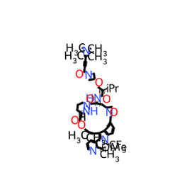 CO[C@@H](C)c1ncccc1-c1c2c3cc(ccc3n1CC(F)(F)F)C1=NC(CO1)C[C@H](NC(=O)[C@@H](COC1CN(C(=O)C#CC(C)(C)N(C)C)C1)C(C)C)C(=O)N1CCC[C@H](N1)C(=O)OCC(C)(C)C2